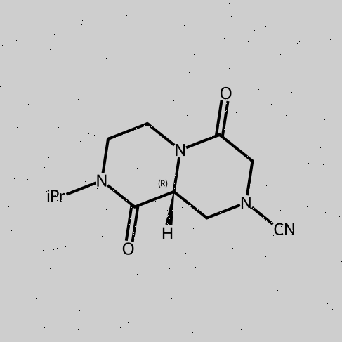 CC(C)N1CCN2C(=O)CN(C#N)C[C@@H]2C1=O